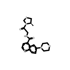 C[C@@H]1CSCN1C(=O)CNC(=O)c1ccnc2ccc(N3CCOCC3)cc12